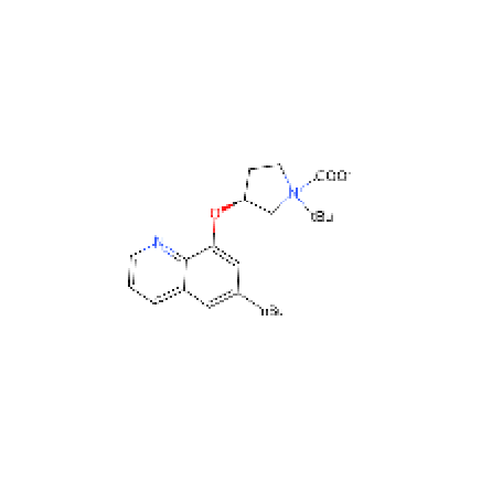 CCCCc1cc(O[C@H]2CC[N+](C(=O)[O-])(C(C)(C)C)C2)c2ncccc2c1